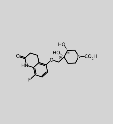 O=C1CCc2c(OC[C@]3(O)CCN(C(=O)O)C[C@H]3O)ccc(F)c2N1